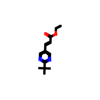 CCOC(=O)C=Cc1cnc(C(C)(C)C)nc1